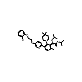 Cc1ncc(-c2ccc(OCCOc3ccccc3Cl)cn2)c(N2CCC(C)(C)CC2)c1[C@H](OC(C)C)C(=O)OC(C)C